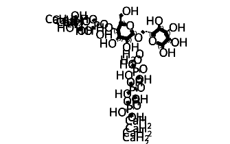 O.O.O=P(O)(O)O.O=P(O)(O)O.O=P(O)(O)O.O=P(O)(O)O.O=P(O)(O)O.OC[C@H]1O[C@H](OC[C@H]2O[C@H](O)[C@@H](O)[C@@H](O)[C@@H]2O)[C@@H](O)[C@@H](O)[C@@H]1O.[CaH2].[CaH2].[CaH2].[CaH2].[CaH2].[CaH2].[CaH2].[CaH2]